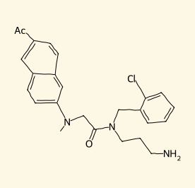 CC(=O)c1ccc2cc(N(C)CC(=O)N(CCCN)Cc3ccccc3Cl)ccc2c1